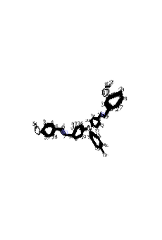 COc1ccc(/C=C/c2ccc(N(c3ccc(C)cc3)c3ccc(/C=C/c4cccc(OC)c4)cc3)cc2)cc1